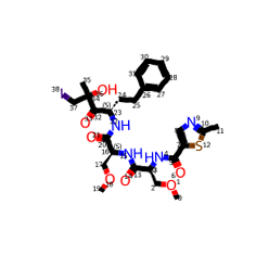 COC[C@H](NC(=O)c1cnc(C)s1)C(=O)N[C@@H](COC)C(=O)N[C@@H](CCc1ccccc1)C(=O)C(C)(O)CI